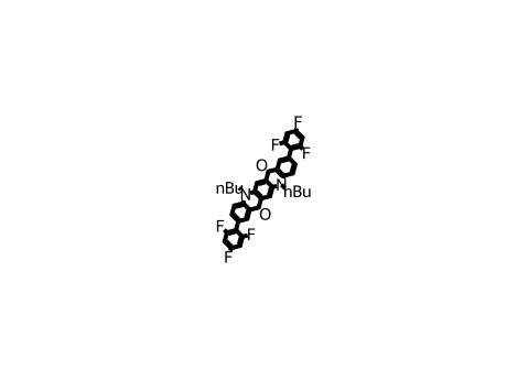 CCCCn1c2ccc(-c3c(F)cc(F)cc3F)cc2c(=O)c2cc3c(cc21)c(=O)c1cc(-c2c(F)cc(F)cc2F)ccc1n3CCCC